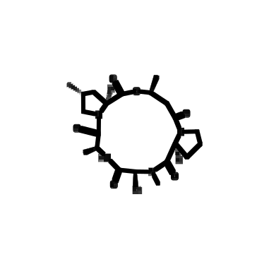 CC[C@H]1C(=O)N[C@@H](C)C(=O)N2C[C@H](C)C[C@H]2C(=O)O[C@@H](C)CC(=O)N2CCC[C@H]2C(=O)N1C